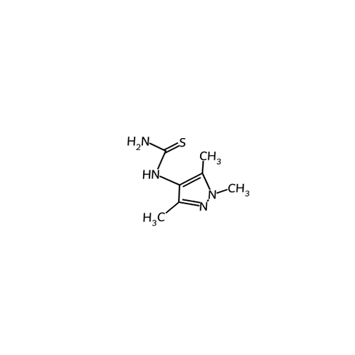 Cc1nn(C)c(C)c1NC(N)=S